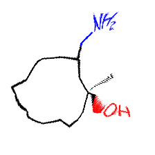 C[C@]1(O)CCCCC1N